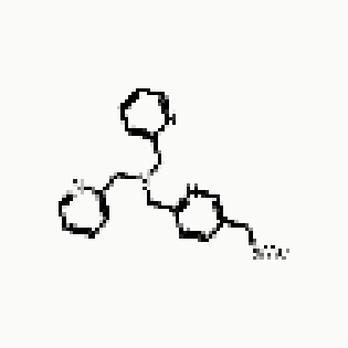 CSCc1ccc(CN(Cc2ccccn2)Cc2ccccn2)nc1